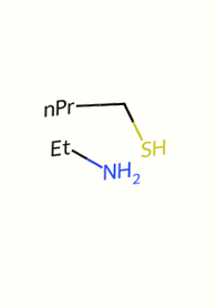 CCCCS.CCN